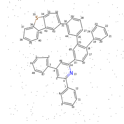 c1ccc(-c2cc(-c3ccccc3)nc(-c3ccc(-c4ccccc4)c(-c4cccc(-c5ccc6sc7ccccc7c6c5)c4)c3)c2)cc1